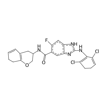 O=C(NC1COC2=C(C=CCC2)C1)c1cc2nc(NC3=C(Cl)CCC=C3Cl)[nH]c2cc1F